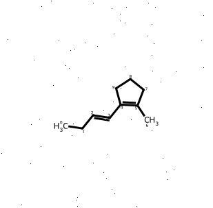 CCC=CC1=C(C)CCC1